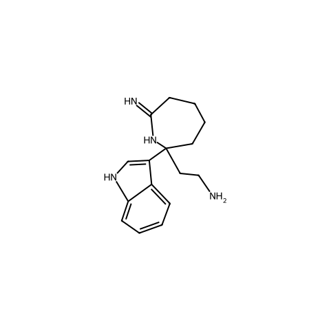 N=C1CCCCC(CCN)(c2c[nH]c3ccccc23)N1